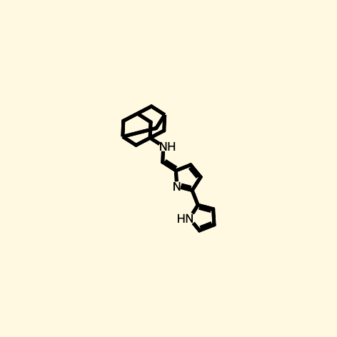 C1=C/C(=C\NC23CC4CC(CC(C4)C2)C3)N=C1c1ccc[nH]1